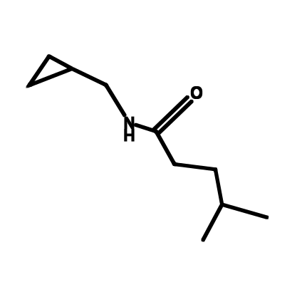 CC(C)CCC(=O)NCC1CC1